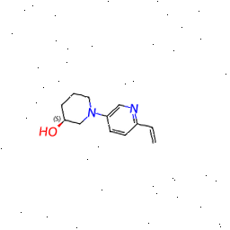 C=Cc1ccc(N2CCC[C@H](O)C2)cn1